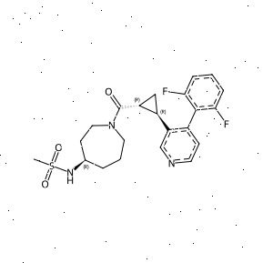 CS(=O)(=O)N[C@@H]1CCCN(C(=O)[C@@H]2C[C@H]2c2cnccc2-c2c(F)cccc2F)CC1